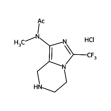 CC(=O)N(C)c1nc(C(F)(F)F)n2c1CNCC2.Cl